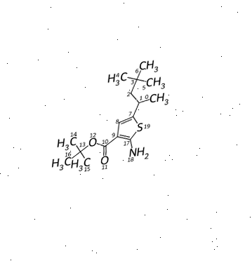 CC(CC(C)(C)C)c1cc(C(=O)OC(C)(C)C)c(N)s1